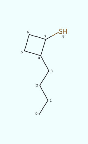 CCCCC1CCC1S